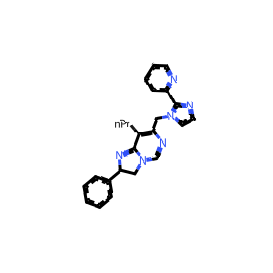 CCCC1=C(Cn2ccnc2-c2ccccn2)N=CN2CC(c3ccccc3)N=C12